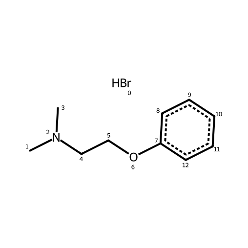 Br.CN(C)CCOc1ccccc1